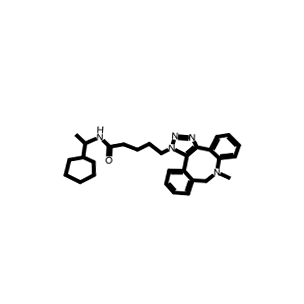 CC(NC(=O)CCCCn1nnc2c1-c1ccccc1CN(C)c1ccccc1-2)C1CCCCC1